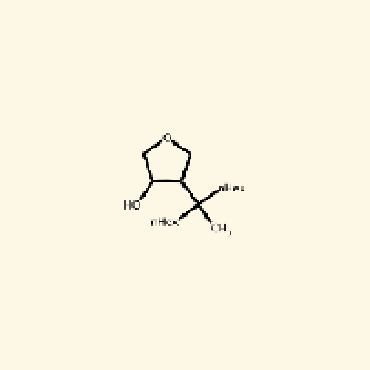 CCCCCCC(C)(CCCCCC)C1COCC1O